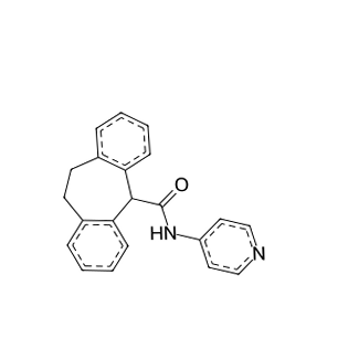 O=C(Nc1ccncc1)C1c2ccccc2CCc2ccccc21